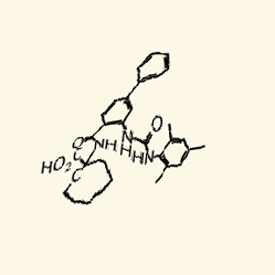 Cc1cc(C)c(NC(=O)Nc2cc(-c3ccccc3)ccc2C(=O)NC2(C(=O)O)CCCCCCC2)c(C)c1